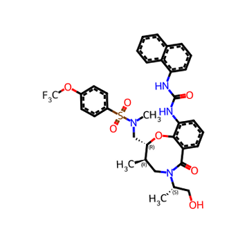 C[C@@H]1CN([C@@H](C)CO)C(=O)c2cccc(NC(=O)Nc3cccc4ccccc34)c2O[C@H]1CN(C)S(=O)(=O)c1ccc(OC(F)(F)F)cc1